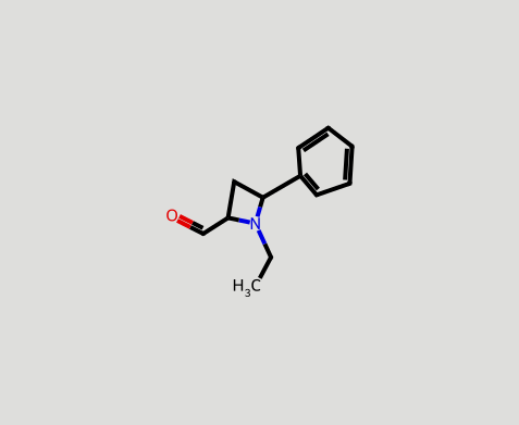 CCN1C(C=O)CC1c1ccccc1